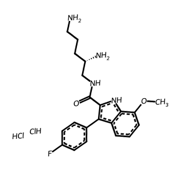 COc1cccc2c(-c3ccc(F)cc3)c(C(=O)NC[C@@H](N)CCCN)[nH]c12.Cl.Cl